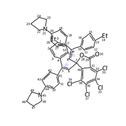 CCc1ccc(/C(=C\C2(/C=C(\c3ccc(CC)cc3)c3ccc(N4CCCC4)cc3)OC(=O)c3c(Cl)c(Cl)c(Cl)c(Cl)c32)c2ccc(N3CCCC3)cc2)cc1